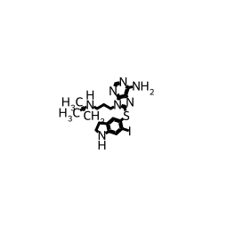 CC(C)(C)NCCCn1c(Sc2cc3c(cc2I)NCC3)nc2c(N)ncnc21